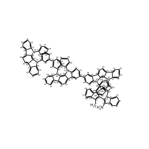 Cc1c(-c2c(N)c3ccccc3n2C2N=C(n3c4ccccc4c4ccc5c6cc(-c7ccc8c(c7)c7ccc9c%10ccccc%10n(-c%10cccc(-c%11cccc(-n%12c%13ccccc%13c%13ccc%14c%15ccccc%15n(-c%15ccccc%15)c%14c%13%12)c%11)c%10)c9c7n8-c7ccccc7)ccc6n(-c6ccccc6)c5c43)O2)n(-c2ccccc2)c2ccccc12